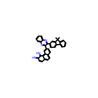 CC1(C)c2ccccc2-c2ccc(-c3nc4ccccc4nc3-c3ccc4ccc5c(c4c3)C(=N)C(=N)C=C5)cc21